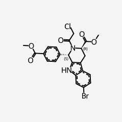 COC(=O)c1ccc([C@H]2c3[nH]c4cc(Br)ccc4c3C[C@H](C(=O)OC)N2C(=O)CCl)cc1